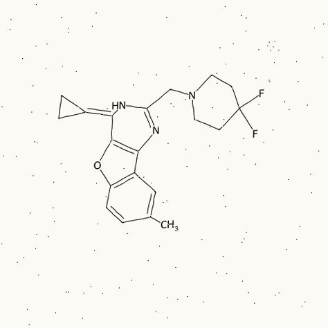 Cc1ccc2oc3c(c2c1)N=C(CN1CCC(F)(F)CC1)NC3=C1CC1